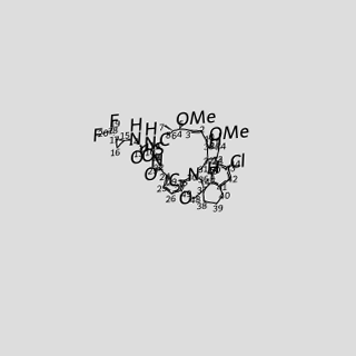 CO[C@H]1/C=C/[C@H](OC)[C@H](C)C[S@@](=O)(NC(=O)N[C@H]2C[C@@H]2C(F)F)=NC(=O)c2ccc3c(c2)N(C[C@@H]2CC[C@H]21)C[C@@]1(CCCc2cc(Cl)ccc21)CO3